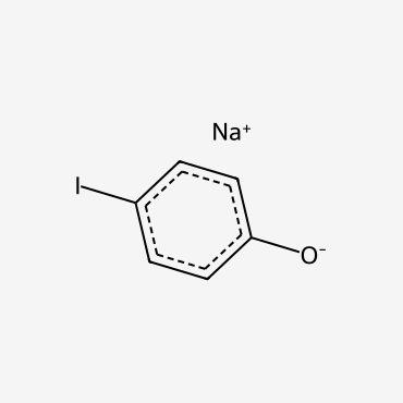 [Na+].[O-]c1ccc(I)cc1